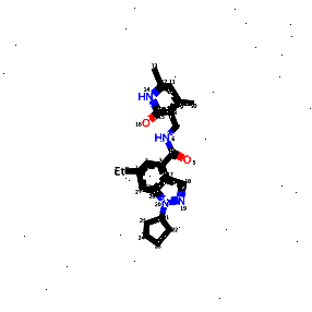 CCc1cc(C(=O)NCc2c(C)cc(C)[nH]c2=O)c2cnn(C3CCCC3)c2c1